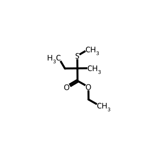 CCOC(=O)C(C)(CC)SC